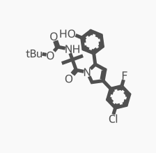 CC(C)(C)OC(=O)NC(C)(C)C(=O)N1CC(c2cc(Cl)ccc2F)=CC1c1cccc(O)c1